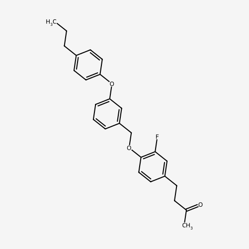 CCCc1ccc(Oc2cccc(COc3ccc(CCC(C)=O)cc3F)c2)cc1